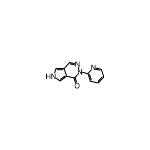 O=c1c2c[nH]cc2cnn1-c1ccccn1